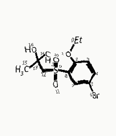 CCOc1ccc(Br)cc1S(=O)(=O)CC(C)(C)O